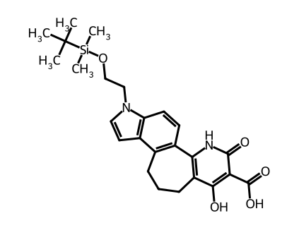 CC(C)(C)[Si](C)(C)OCCn1ccc2c3c(ccc21)-c1[nH]c(=O)c(C(=O)O)c(O)c1CCC3